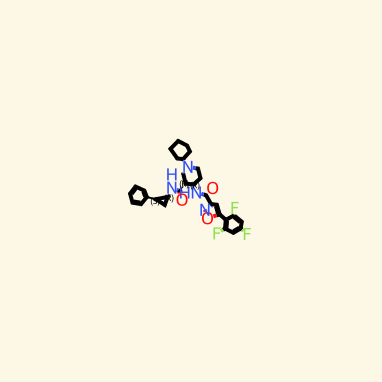 O=C(N[C@@H]1CCN(C2CCCCC2)C[C@H]1C(=O)N[C@@H]1C[C@H]1c1ccccc1)c1cc(-c2c(F)cc(F)cc2F)on1